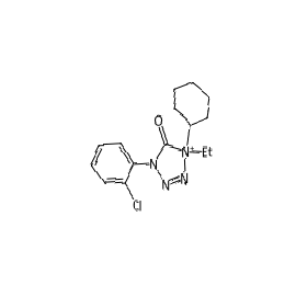 CC[N+]1(C2CCCCC2)N=NN(c2ccccc2Cl)C1=O